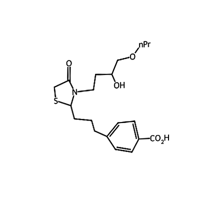 CCCOCC(O)CCN1C(=O)CSC1CCCc1ccc(C(=O)O)cc1